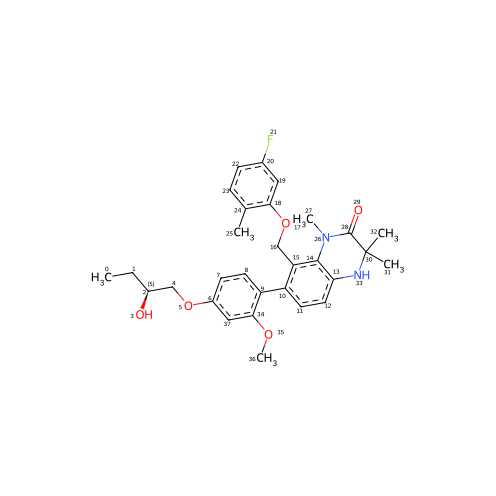 CC[C@H](O)COc1ccc(-c2ccc3c(c2COc2cc(F)ccc2C)N(C)C(=O)C(C)(C)N3)c(OC)c1